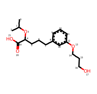 CC(C)OC(CCCc1cccc(OCCCO)c1)C(=O)O